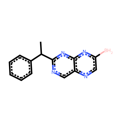 Bc1cnc2cnc(C(C)c3ccccc3)nc2n1